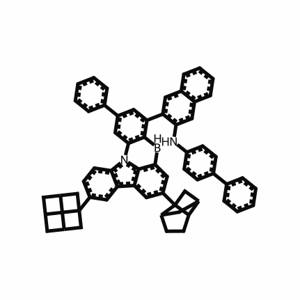 B1c2c(-c3cc4ccccc4cc3Nc3ccc(-c4ccccc4)cc3)cc(-c3ccccc3)cc2-n2c3ccc(C45CC6CC7CC(C4)C765)cc3c3cc(C45CC6CC4CCC65)cc1c32